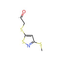 CSc1cc(SC[C]=O)sn1